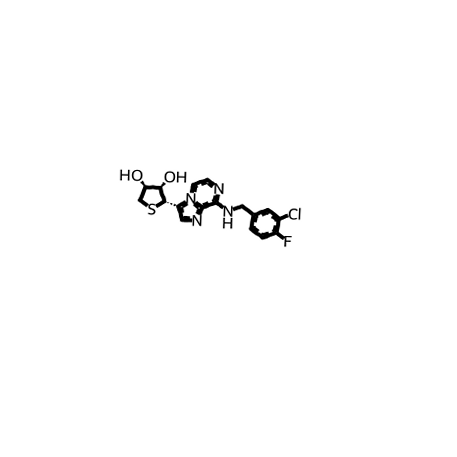 O[C@@H]1[C@H](O)CS[C@H]1c1cnc2c(NCc3ccc(F)c(Cl)c3)nccn12